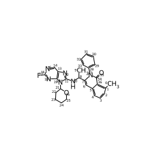 Cc1cccc2cc(C(C)Nc3nc4cnc(F)nc4n3C3CCCCO3)n(-c3ccccc3)c(=O)c12